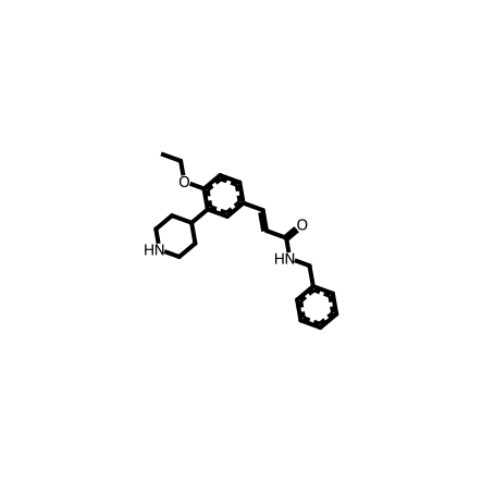 CCOc1ccc(/C=C/C(=O)NCc2ccccc2)cc1C1CCNCC1